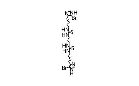 S=C(NCCCNC(=S)NCCSCc1nc[nH]c1Br)NCCSCc1nc[nH]c1Br